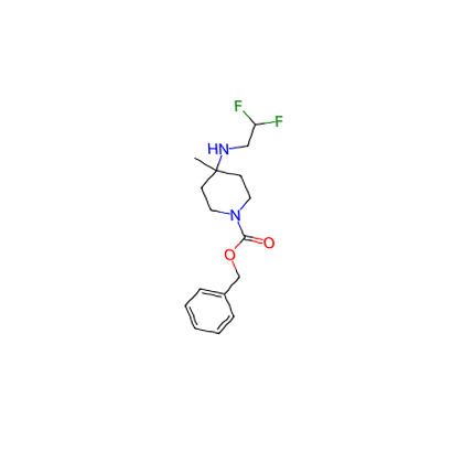 CC1(NCC(F)F)CCN(C(=O)OCc2ccccc2)CC1